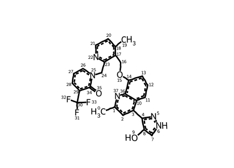 Cc1cc(-c2n[nH]cc2O)c2cccc(OCc3c(C)ccnc3Cn3cccc(C(F)(F)F)c3=O)c2n1